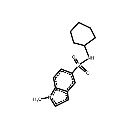 Cn1ccc2cc(S(=O)(=O)NC3CCCCC3)ccc21